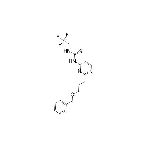 FC(F)(F)CNC(=S)Nc1ccnc(CCCOCc2ccccc2)n1